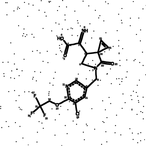 N=C(C(=O)O)C1CN(Cc2cnc(OCC(F)(F)F)c(Cl)c2)C(=O)C12C=C2